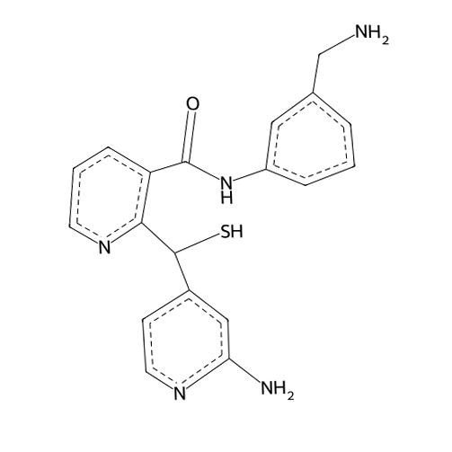 NCc1cccc(NC(=O)c2cccnc2C(S)c2ccnc(N)c2)c1